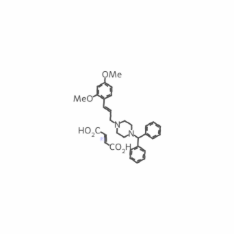 COc1ccc(C=CCN2CCN(C(c3ccccc3)c3ccccc3)CC2)c(OC)c1.O=C(O)/C=C/C(=O)O